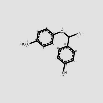 CCCCC(Oc1ccc(C(=O)O)cc1)c1ccc(C#N)cc1